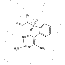 C=CC(C(C)C)S(=O)(=O)c1ccccc1-c1cnc(N)nc1N